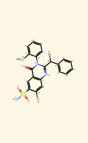 NS(=O)(=O)c1cc2c(=O)n(-c3ccccc3C(=O)O)c(C(Br)c3ccccc3)nc2cc1Cl